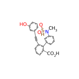 CN(c1cccc(-c2c(C#Cc3cccc(O)c3)cccc2C(=O)O)c1)[SH](=O)=O